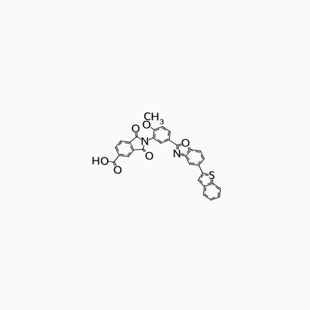 COc1ccc(-c2nc3cc(-c4cc5ccccc5s4)ccc3o2)cc1N1C(=O)c2ccc(C(=O)O)cc2C1=O